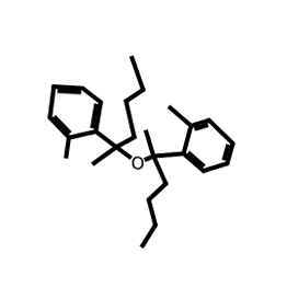 CCCCC(C)(OC(C)(CCCC)c1ccccc1C)c1ccccc1C